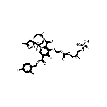 CC1=NO[C@@]2(CC[C@H](C)N3C[C@H]2n2cc(C(=O)NCc4ccc(F)cc4F)c(=O)c(OCOC(=O)OC[C@H](C)COP(=O)(O)O)c2C3=O)C1